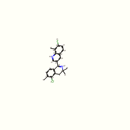 Cc1ccc2c(c1Cl)CC(C)(C)N=C2c1cnc2c(C)c(F)ccc2c1